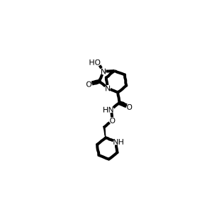 O=C(NOC[C@@H]1CCCCN1)C1CCC2CN1C(=O)N2O